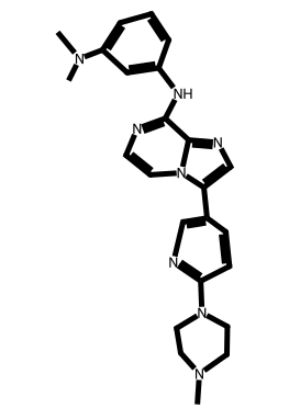 CN1CCN(c2ccc(-c3cnc4c(Nc5cccc(N(C)C)c5)nccn34)cn2)CC1